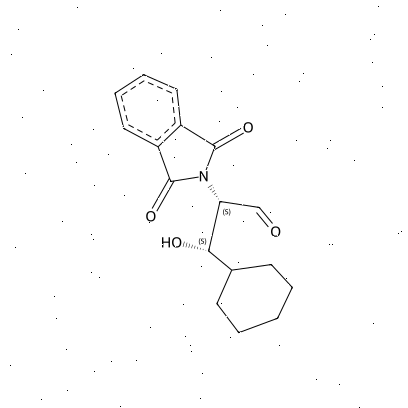 O=C[C@H]([C@@H](O)C1CCCCC1)N1C(=O)c2ccccc2C1=O